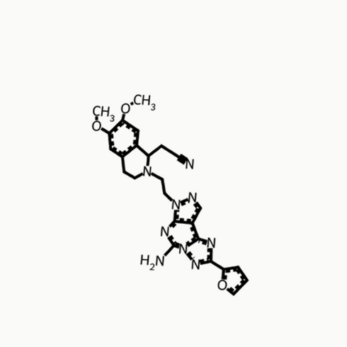 COc1cc2c(cc1OC)C(CC#N)N(CCn1ncc3c1nc(N)n1nc(-c4ccco4)nc31)CC2